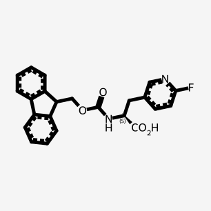 O=C(N[C@@H](Cc1ccc(F)nc1)C(=O)O)OCC1c2ccccc2-c2ccccc21